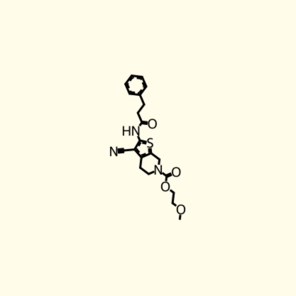 COCCOC(=O)N1CCc2c(sc(NC(=O)CCc3ccccc3)c2C#N)C1